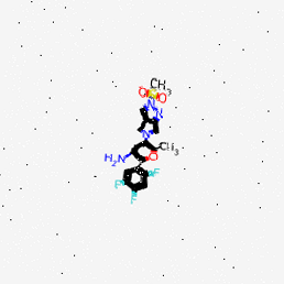 C[C@@H]1O[C@H](c2cc(F)c(F)cc2F)[C@@H](N)C[C@H]1N1Cc2cn(S(C)(=O)=O)nc2C1